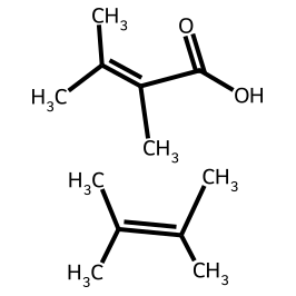 CC(C)=C(C)C.CC(C)=C(C)C(=O)O